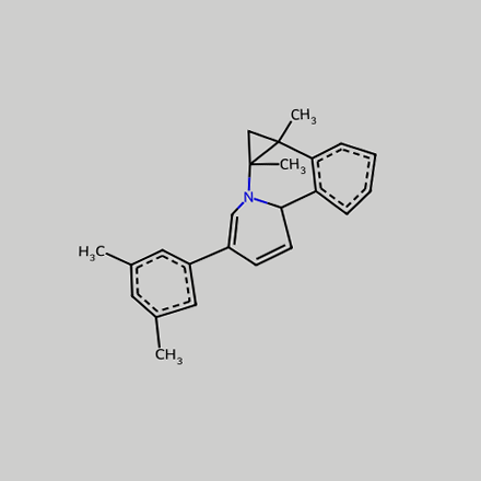 Cc1cc(C)cc(C2=CN3C(C=C2)c2ccccc2C2(C)CC32C)c1